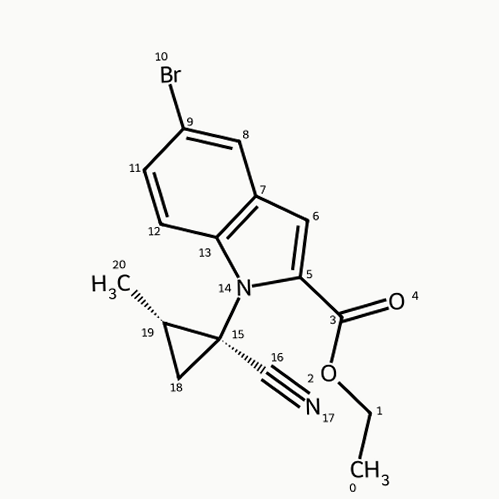 CCOC(=O)c1cc2cc(Br)ccc2n1[C@@]1(C#N)C[C@@H]1C